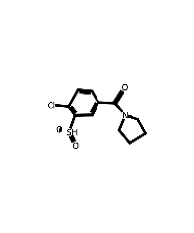 O=C(c1ccc(Cl)c([SH](=O)=O)c1)N1CCCC1